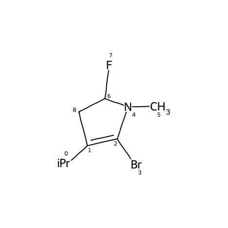 CC(C)C1=C(Br)N(C)C(F)C1